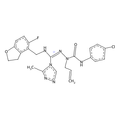 C=CCN(/N=C(/NCc1c(F)ccc2c1CCO2)n1cnnc1C)C(=O)Nc1ccc(Cl)cc1